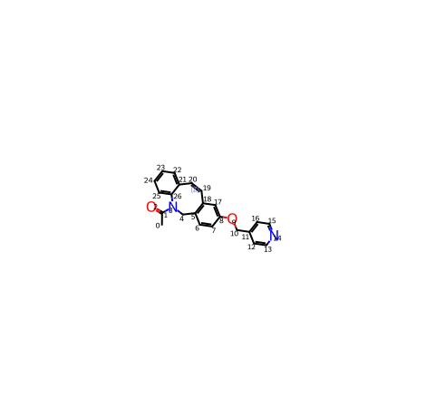 CC(=O)N1Cc2ccc(OCc3ccncc3)cc2/C=C\c2ccccc21